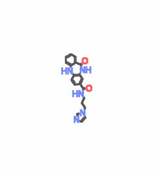 O=C(NCCCn1ccnc1)c1ccc2c(c1)NC(=O)c1ccccc1N2